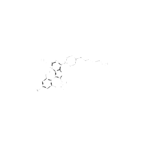 CCOOCCC1CCN(c2nc(C)nc3c(-c4c(C)cc(Br)cc4C)c(C)sc23)CC1